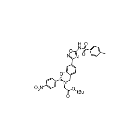 Cc1ccc(S(=O)(=O)Nc2nc(-c3ccc(CN(CC(=O)OC(C)(C)C)[S+]([O-])c4ccc([N+](=O)[O-])cc4)cc3)no2)cc1